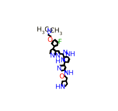 CN(C)CCOc1cc(F)cc(-c2ccnc3[nH]c(-c4n[nH]c5ccc(-c6cncc(NC(=O)CC7CCNCC7)c6)nc45)cc23)c1